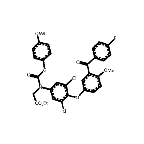 CCOC(=O)CN(C(=O)Oc1ccc(OC)cc1)c1cc(Cl)c(Oc2ccc(OC)c(C(=O)c3ccc(F)cc3)c2)c(Cl)c1